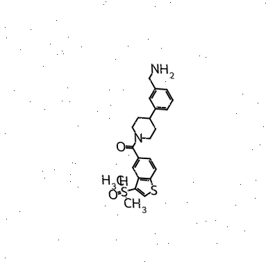 C[SH](C)(=O)c1csc2ccc(C(=O)N3CCC(c4cccc(CN)c4)CC3)cc12